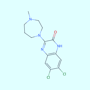 CN1CCCN(c2nc3cc(Cl)c(Cl)cc3[nH]c2=O)CC1